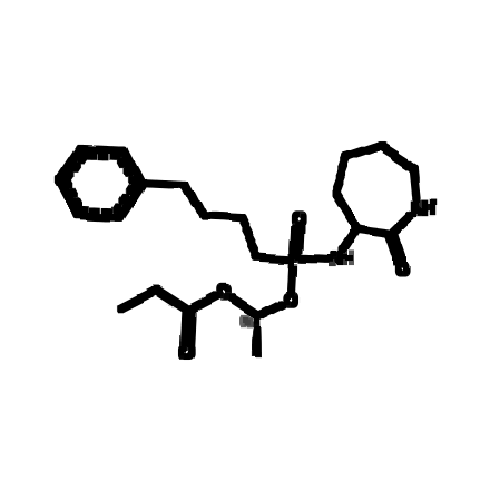 CCC(=O)O[C@H](C)OP(=O)(CCCCc1ccccc1)NC1CCCCNC1=O